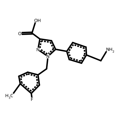 Cc1ccc(Cn2nc(C(=O)O)cc2-c2ccc(CN)cc2)cc1F